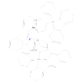 c1ccc(C(c2ccc3c(c2)C(c2ccccc2)(c2ccccc2)c2ccccc2-3)c2c3c(cc4ccccc24)-c2ccccc2C32c3ccccc3-c3c(N(c4ccccc4)c4ccccc4)cccc32)cc1